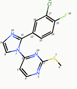 CSc1nccc(-n2ccnc2-c2ccc(F)c(Cl)c2)n1